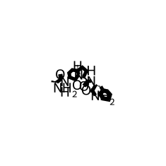 C[C@H](N)C(=O)N[C@@H]1CC[C@H]2CC[C@@H](C(=O)N[C@H](Cc3ccccc3)C(N)=O)N2C1=O